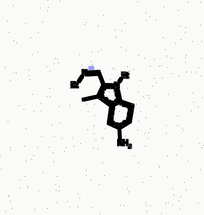 CC/N=C\c1c(C)c2cc(N)ccc2n1CC